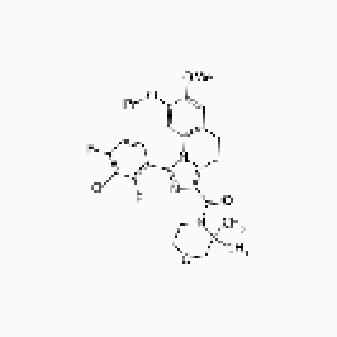 COc1cc2c(cc1OC(C)C)-n1c(-c3ccc(F)c(Cl)c3F)nc(C(=O)N3CCOCC3(C)C)c1CC2